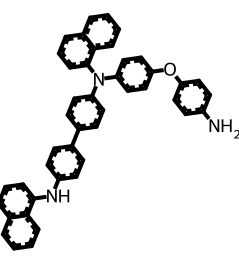 Nc1ccc(Oc2ccc(N(c3ccc(-c4ccc(Nc5cccc6ccccc56)cc4)cc3)c3cccc4ccccc34)cc2)cc1